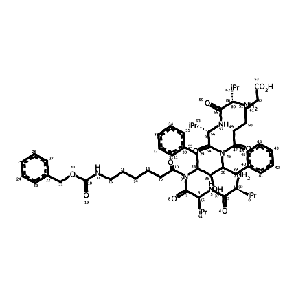 CC(C)[C@H](N)C(=O)N[C@H](C(=O)N(C(=O)CCCCCNC(=O)OCc1ccccc1)C(Cc1ccccc1)C(O)C(Cc1ccccc1)N(C(=O)CCCCC(=O)O)C(=O)[C@@H](NC(=O)[C@@H](N)C(C)C)C(C)C)C(C)C